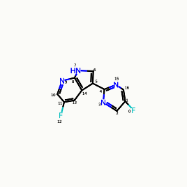 Fc1cnc(-c2c[nH]c3ncc(F)cc23)nc1